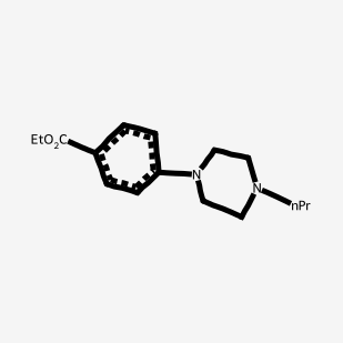 CCCN1CCN(c2ccc(C(=O)OCC)cc2)CC1